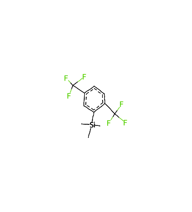 C[Si](C)(C)c1cc(C(F)(F)F)ccc1C(F)(F)F